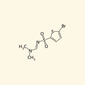 CN(C)/C=N/S(=O)(=O)c1ccc(Br)s1